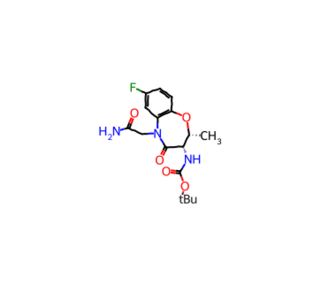 C[C@H]1Oc2ccc(F)cc2N(CC(N)=O)C(=O)[C@H]1NC(=O)OC(C)(C)C